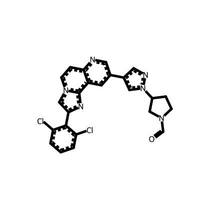 O=CN1CCC(n2cc(-c3cnc4ccn5cc(-c6c(Cl)cccc6Cl)nc5c4c3)cn2)C1